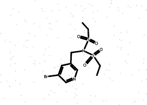 CCS(=O)(=O)N(Cc1cncc(Br)c1)S(=O)(=O)CC